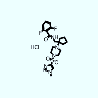 Cl.Cn1cc(S(=O)(=O)N2CCN(C3(CNC(=O)c4c(F)cccc4F)CCCC3)CC2)nn1